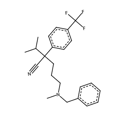 CC(C)C(C#N)(CCCN(C)Cc1ccccc1)c1ccc(C(F)(F)F)cc1